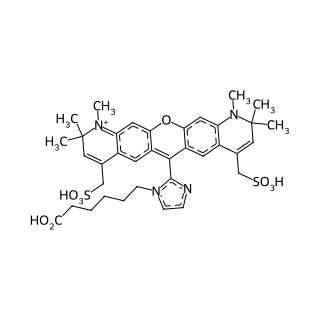 CN1c2cc3c(cc2C(CS(=O)(=O)O)=CC1(C)C)C(c1nccn1CCCCCC(=O)O)=c1cc2c(cc1O3)=[N+](C)C(C)(C)C=C2CS(=O)(=O)O